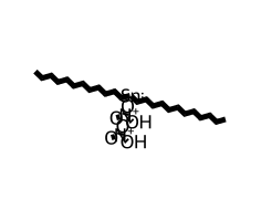 CCCCCCCCCCC[CH2][Sn][CH2]CCCCCCCCCCC.O=[N+]([O-])O.O=[N+]([O-])O